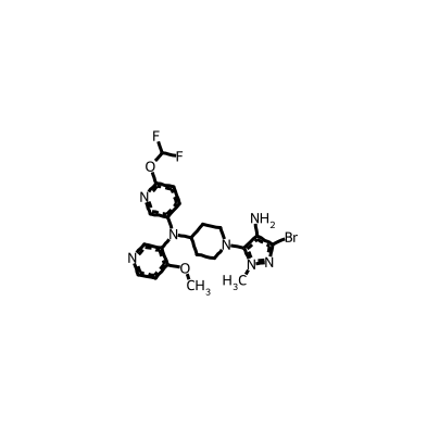 COc1ccncc1N(c1ccc(OC(F)F)nc1)C1CCN(c2c(N)c(Br)nn2C)CC1